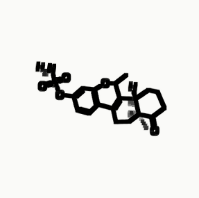 CC1Oc2cc(OS(N)(=O)=O)ccc2C2=C1[C@@H]1CCCC(=O)[C@@]1(C)CC2